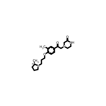 Cc1cc(C(=O)CN2CCNC(=O)C2)ccc1OCCCN1CCC[C@H]1C